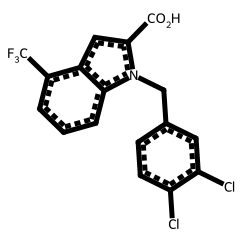 O=C(O)c1cc2c(C(F)(F)F)cccc2n1Cc1ccc(Cl)c(Cl)c1